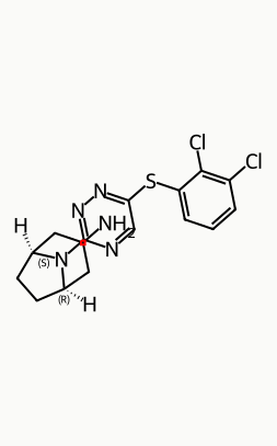 NC1C[C@H]2CC[C@@H](C1)N2c1ncc(Sc2cccc(Cl)c2Cl)nn1